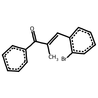 CC(=Cc1ccccc1Br)C(=O)c1ccccc1